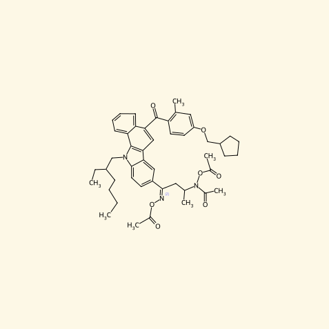 CCCCC(CC)Cn1c2ccc(/C(CC(C)N(OC(C)=O)C(C)=O)=N\OC(C)=O)cc2c2cc(C(=O)c3ccc(OCC4CCCC4)cc3C)c3ccccc3c21